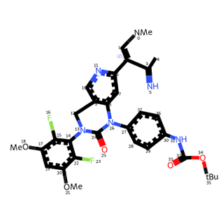 CN/C=C(\C(C)=N)c1cc2c(cn1)CN(c1c(F)c(OC)cc(OC)c1F)C(=O)N2c1ccc(NC(=O)OC(C)(C)C)cc1